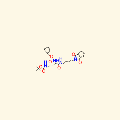 CC(C)(C)OC(=O)NCCCC(NC(=O)OCc1ccccc1)C(=O)NCCCCCN1C(=O)c2ccccc2C1=O